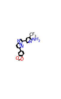 Nc1ncc(-c2cnc3ccc(-c4ccc5c(c4)OCO5)nn23)cc1C(F)(F)F